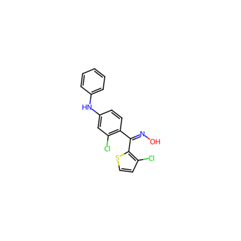 ON=C(c1ccc(Nc2ccccc2)cc1Cl)c1sccc1Cl